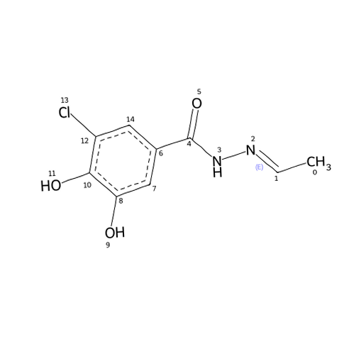 C/C=N/NC(=O)c1cc(O)c(O)c(Cl)c1